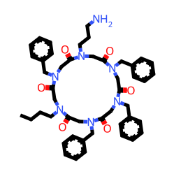 CCCCN1CC(=O)N(Cc2ccccc2)CC(=O)N(CCCN)CC(=O)N(Cc2ccccc2)CC(=O)N(Cc2ccccc2)CC(=O)N(Cc2ccccc2)CC1=O